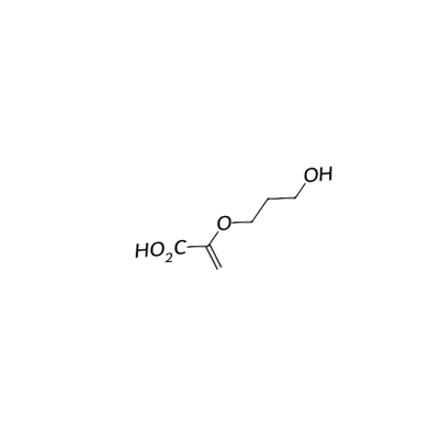 C=C(OCCCO)C(=O)O